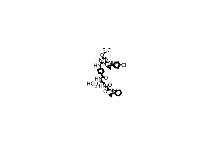 O=C(NC[C@H](NC(=O)c1ccc(Nc2nc(NC3(c4ccc(Cl)cc4)CC3)nc(OCC(F)(F)F)n2)cc1)C(=O)O)C(=O)NC1(C2CCCCC2)CC1